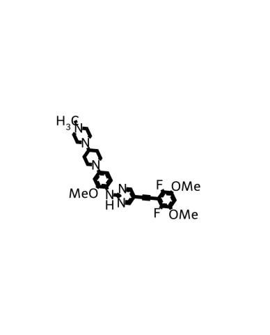 COc1cc(N2CCC(N3CCN(C)CC3)CC2)ccc1Nc1ncc(C#Cc2c(F)c(OC)cc(OC)c2F)cn1